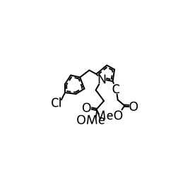 COC(=O)CCc1ccc(Cc2ccc(Cl)cc2)n1CCC(=O)OC